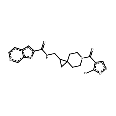 CC(C)c1oncc1C(=O)N1CCC2(CC1)CC2CNC(=O)c1cc2ccncc2o1